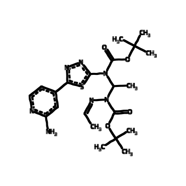 C/C=N\N(C(=O)OC(C)(C)C)C(C)N(C(=O)OC(C)(C)C)c1nnc(-c2ccnc(N)c2)s1